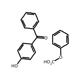 O=C(O)Oc1ccccc1.O=C(c1ccccc1)c1ccc(O)cc1